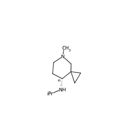 CC(C)N[C@@H]1CCN(C)CC12CC2